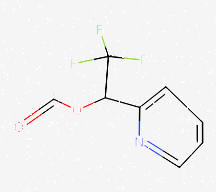 O=[C]OC(c1ccccn1)C(F)(F)F